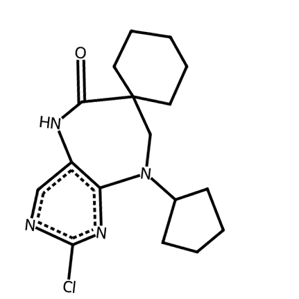 O=C1Nc2cnc(Cl)nc2N(C2CCCC2)CC12CCCCC2